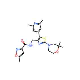 Cc1cc(-c2sc(N3CCOC(C)(C)C3)nc2CNC(=O)c2cc(C)on2)cc(C)n1